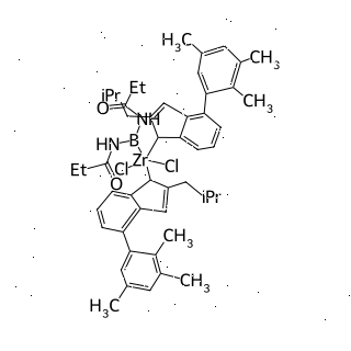 CCC(=O)N[B](NC(=O)CC)[Zr]([Cl])([Cl])([CH]1C(CC(C)C)=Cc2c(-c3cc(C)cc(C)c3C)cccc21)[CH]1C(CC(C)C)=Cc2c(-c3cc(C)cc(C)c3C)cccc21